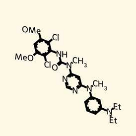 CCN(CC)c1cccc(N(C)c2cc(N(C)C(=O)Nc3c(Cl)c(OC)cc(OC)c3Cl)ncn2)c1